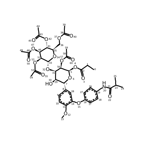 CCC(=O)O[C@H]1O[C@H](c2ccc(OC)c(Oc3ccc(NC(=O)C(C)C)cc3)c2)[C@@H](O)[C@@H](O[C@H]2O[C@H](COC(C)=O)[C@@H](OC(C)=O)[C@H](OC(C)=O)[C@@H]2OC(C)=O)[C@H]1OC(C)=O